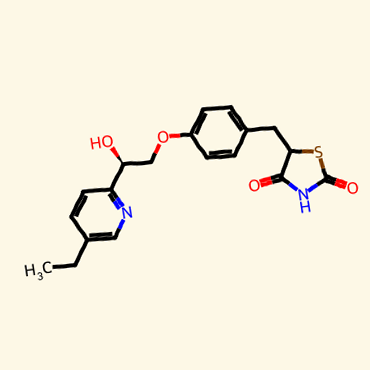 CCc1ccc([C@@H](O)COc2ccc(CC3SC(=O)NC3=O)cc2)nc1